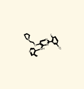 Cc1cnccc1Nc1nc(-c2cc(Cl)ccc2F)ncc1OCCN1CCCC1